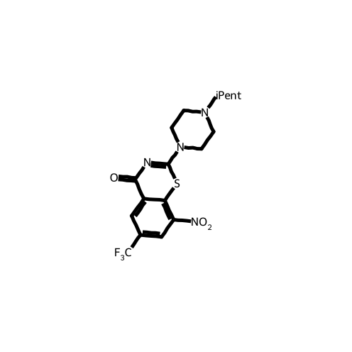 CCCC(C)N1CCN(c2nc(=O)c3cc(C(F)(F)F)cc([N+](=O)[O-])c3s2)CC1